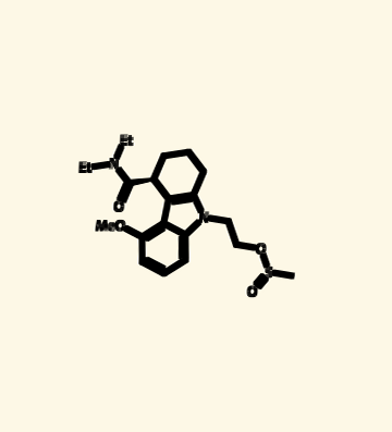 CCN(CC)C(=O)[C@H]1CCCc2c1c1c(OC)cccc1n2CCOS(C)=O